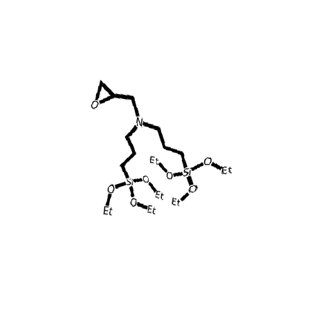 CCO[Si](CCCN(CCC[Si](OCC)(OCC)OCC)CC1CO1)(OCC)OCC